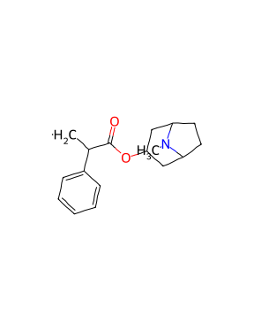 [CH2]C(C(=O)OC1CC2CCC(C1)N2C)c1ccccc1